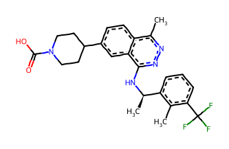 Cc1c([C@@H](C)Nc2nnc(C)c3ccc(C4CCN(C(=O)O)CC4)cc23)cccc1C(F)(F)F